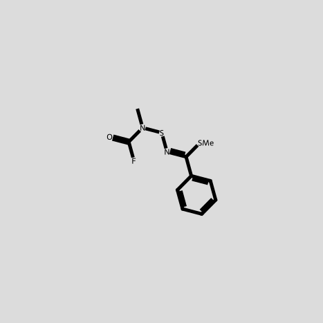 CSC(=NSN(C)C(=O)F)c1ccccc1